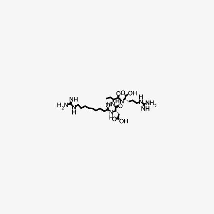 CCC(NC(=O)[C@H](CC(=O)O)NC(=O)CCCCCCCCNC(=N)N)C(=O)N[C@@H](CCCNC(=N)N)C(=O)O